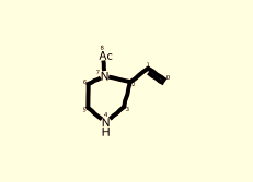 C=CC1CNCCN1C(C)=O